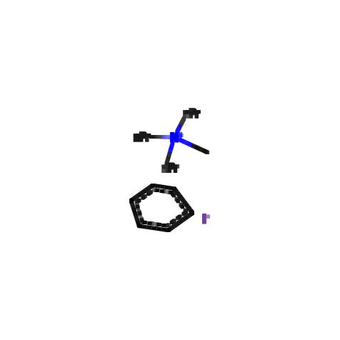 CCC[N+](C)(CCC)CCC.[I-].c1ccccc1